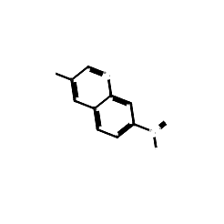 O=[N+]([O-])c1ccc2cc(F)cnc2c1